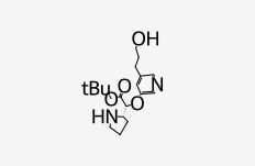 CC(C)(C)OC(=O)C(Oc1cncc(CCCO)c1)[C@@H]1CCCN1